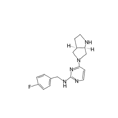 Fc1ccc(CNc2nccc(N3C[C@H]4CCN[C@H]4C3)n2)cc1